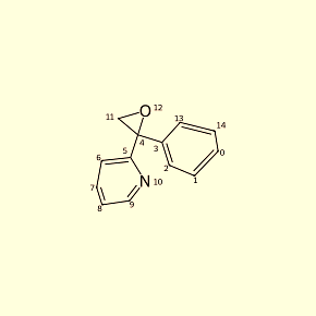 c1ccc(C2(c3ccccn3)CO2)cc1